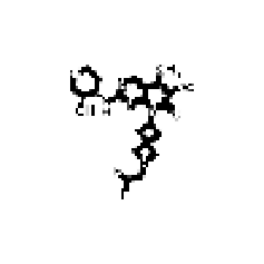 CC(=O)c1c(C)c2cnc(N[C@H]3CCOC[C@@H]3O)nc2n(C2CC3(C2)CN(CC(F)F)C3)c1=O